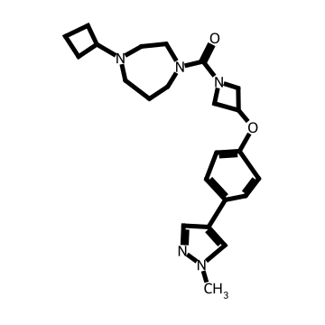 Cn1cc(-c2ccc(OC3CN(C(=O)N4CCCN(C5CCC5)CC4)C3)cc2)cn1